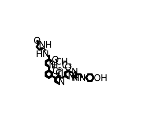 COc1nc(-c2cccc(-c3ccnc(-c4cc(OC)c5nc(CNC6CCC(O)CC6)nn5c4)c3Cl)c2Cl)ccc1CNC[C@H]1CCC(=O)N1